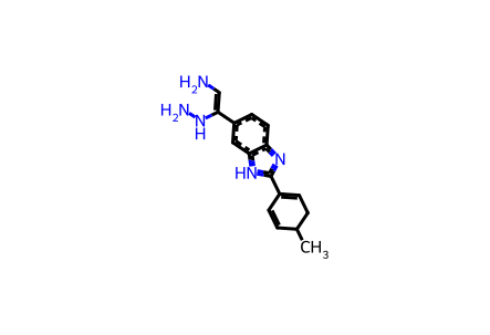 CC1C=CC(c2nc3ccc(/C(=C/N)NN)cc3[nH]2)=CC1